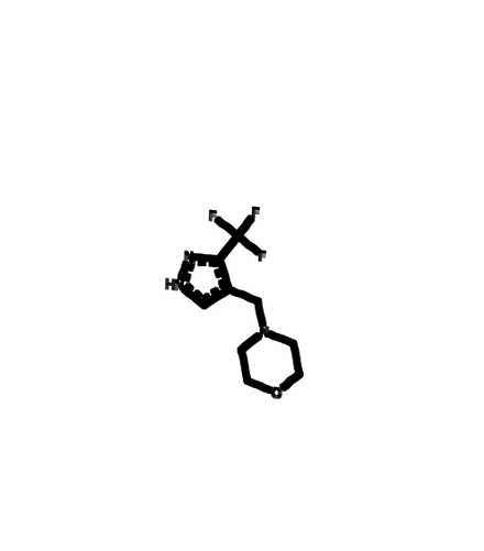 FC(F)(F)c1n[nH]cc1CN1CCOCC1